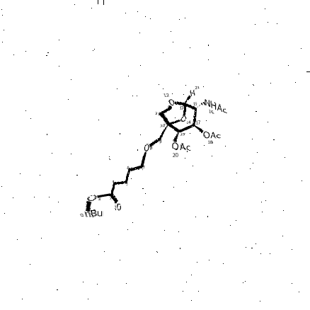 CCCCOC(=O)CCCCOC[C@@]12CO[C@@H](O1)[C@H](NC(C)=O)[C@@H](OC(C)=O)[C@H]2OC(C)=O